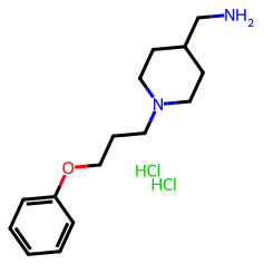 Cl.Cl.NCC1CCN(CCCOc2ccccc2)CC1